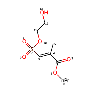 CCCOC(=O)C(C)=CS(=O)(=O)OCCO